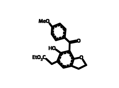 CCOC(=O)Cc1cc2c(c(C(=O)c3ccc(OC)cc3)c1O)OCC2